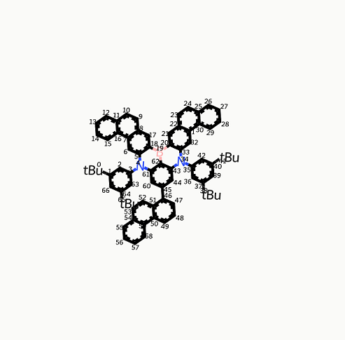 CC(C)(C)c1cc(N2c3cc4c(ccc5ccccc54)cc3B3c4cc5ccc6ccccc6c5cc4N(c4cc(C(C)(C)C)cc(C(C)(C)C)c4)c4cc(-c5cccc6c5ccc5ccccc56)cc2c43)cc(C(C)(C)C)c1